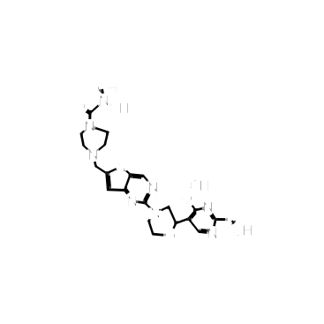 COc1ncc(C2CN(c3ncc4sc(CN5CCN(C(=O)N(C)C)CC5)cc4n3)CCO2)c(OC)n1